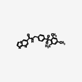 Cc1cc(C)c(S(=O)(=O)c2ccc(CNC(=O)c3cnc4nccn4c3)cc2)c(C)c1